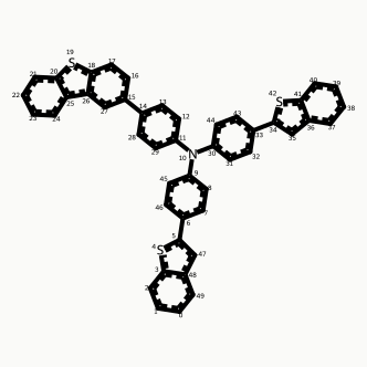 c1ccc2sc(-c3ccc(N(c4ccc(-c5ccc6sc7ccccc7c6c5)cc4)c4ccc(-c5cc6ccccc6s5)cc4)cc3)cc2c1